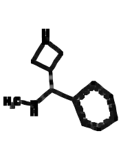 CNC(c1ccccc1)C1CNC1